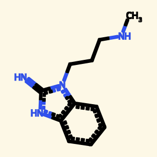 CNCCCn1c(=N)[nH]c2ccccc21